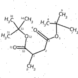 CC(CC(=O)OC(C)(C)C)C(=O)OC(C)(C)C